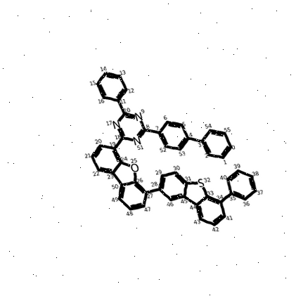 c1ccc(-c2ccc(-c3nc(-c4ccccc4)nc(-c4cccc5c4oc4c(-c6ccc7sc8c(-c9ccccc9)cccc8c7c6)cccc45)n3)cc2)cc1